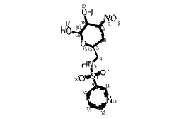 O=[N+]([O-])C1C[C@@H](CNS(=O)(=O)c2cccnc2)O[C@@H](O)C1O